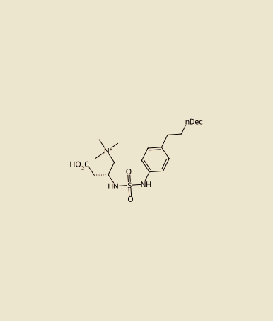 CCCCCCCCCCCCc1ccc(NS(=O)(=O)N[C@H](CC(=O)O)C[N+](C)(C)C)cc1